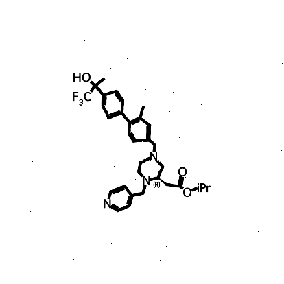 Cc1cc(CN2CCN(Cc3ccncc3)[C@H](CC(=O)OC(C)C)C2)ccc1-c1ccc(C(C)(O)C(F)(F)F)cc1